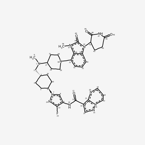 CN(C[C@H]1CC[C@H](n2cc(NC(=O)c3cnn4cccnc34)c(F)n2)CC1)C1CCN(c2cccc3c2n(C)c(=O)n3C2CCC(=O)NC2=O)CC1